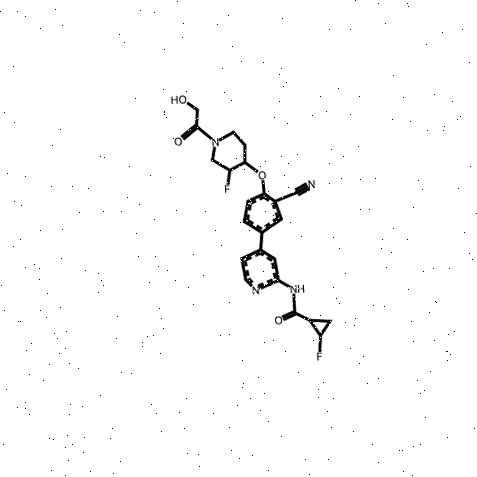 N#Cc1cc(-c2ccnc(NC(=O)C3CC3F)c2)ccc1OC1CCN(C(=O)CO)CC1F